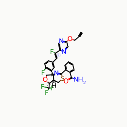 C#CCOc1cnc(/C(F)=C/c2ccc(F)c([C@]34CO[C@H](C(F)(F)F)[C@H]3CSC(c3ccccc3C(N)=O)=N4)c2)cn1